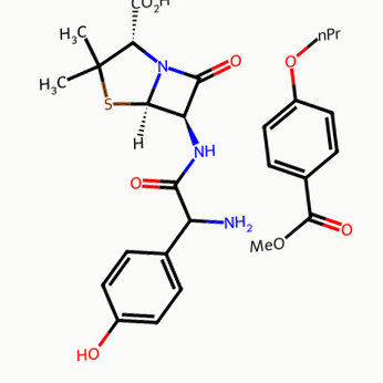 CC1(C)S[C@@H]2[C@H](NC(=O)C(N)c3ccc(O)cc3)C(=O)N2[C@H]1C(=O)O.CCCOc1ccc(C(=O)OC)cc1